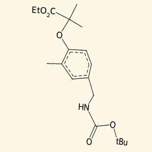 CCOC(=O)C(C)(C)Oc1ccc(CNC(=O)OC(C)(C)C)cc1C